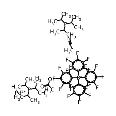 CC#N.CC(=O)[O-].CC(C)P(C(C)C)C(C)C.CC(C)P(C(C)C)C(C)C.Fc1c(F)c(F)c([B-](c2c(F)c(F)c(F)c(F)c2F)(c2c(F)c(F)c(F)c(F)c2F)c2c(F)c(F)c(F)c(F)c2F)c(F)c1F.[Pd+2]